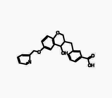 O=C(O)c1cccc(CC2COc3ccc(OCc4ccccn4)cc3C2O)c1